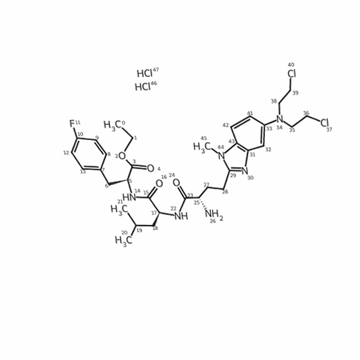 CCOC(=O)[C@H](Cc1ccc(F)cc1)NC(=O)[C@H](CC(C)C)NC(=O)[C@@H](N)CCc1nc2cc(N(CCCl)CCCl)ccc2n1C.Cl.Cl